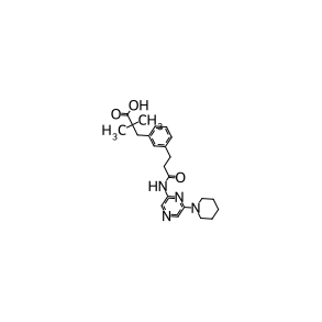 CC(C)(Cc1cccc(CCC(=O)Nc2cncc(N3CCCCC3)n2)c1)C(=O)O